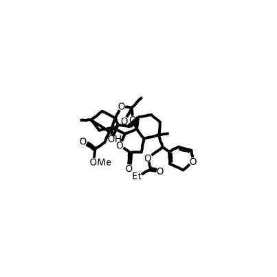 CCC(=O)OC(C1=CCOC=C1)C1(C)CCC2=C3OC4(C)OC25C1CC(=O)OC5C1(O)CC2(C)CC1(O4)C3(C)C2CC(=O)OC